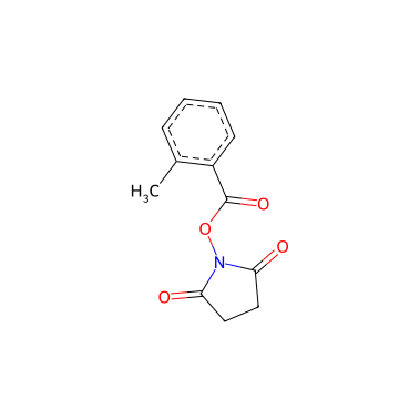 Cc1ccccc1C(=O)ON1C(=O)CCC1=O